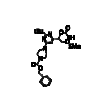 CSOCC(OC(=O)S)c1cc(N2CCN(C(=O)OCc3ccccc3)CC2)nc(C(C)(C)C)n1